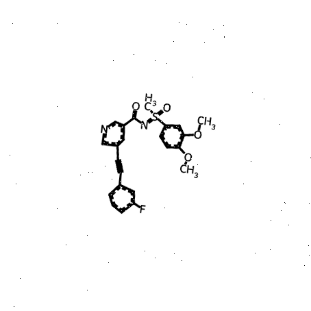 COc1ccc(S(C)(=O)=NC(=O)c2cncc(C#Cc3cccc(F)c3)c2)cc1OC